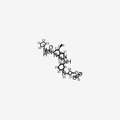 C#Cc1cc(NC(=O)NC2CCCC2)nc2nc(Nc3cccc(N(C)C4CC(CS(C)(=O)=O)C4)c3)ncc12